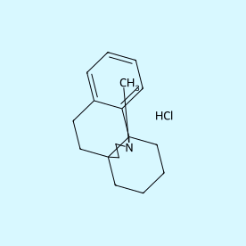 CN1CCC23CCCCC12c1ccccc1CC3.Cl